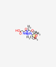 C[C@@H](NC(=O)[C@@H](N)CC(=O)O)C(=O)NC1C(C)(C)S(=O)(=O)C1(C)C